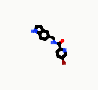 O=C(NCc1ccc2[nH]ccc2c1)c1ccc(Br)cn1